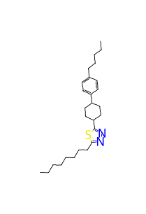 CCCCCCCCc1nnc(C2CCC(c3ccc(CCCCC)cc3)CC2)s1